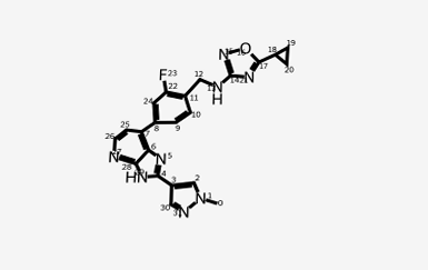 Cn1cc(-c2nc3c(-c4ccc(CNc5noc(C6CC6)n5)c(F)c4)ccnc3[nH]2)cn1